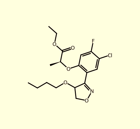 CCCCOC1CON=C1c1cc(Cl)c(F)cc1O[C@@H](C)C(=O)OCC